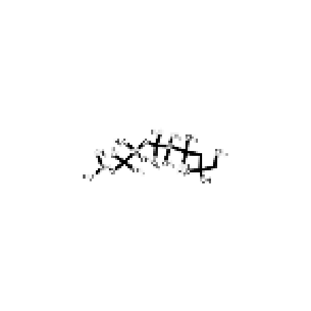 CCC(C)(O)CC(C)(C)[Si](C)(C)C(C)(C)O[Si](C)(C)C(C)(C)O[SiH](C)C